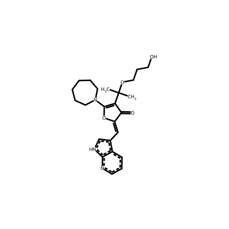 CC(C)(OCCCO)C1=C(N2CCCCCC2)O/C(=C\c2c[nH]c3ncccc23)C1=O